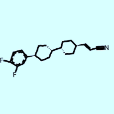 N#CC=C[C@H]1CC[C@H]([C@H]2CC[C@H](c3ccc(F)c(F)c3)CC2)CC1